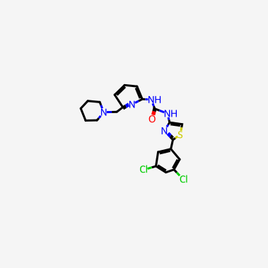 O=C(Nc1cccc(CN2CCCCC2)n1)Nc1csc(-c2cc(Cl)cc(Cl)c2)n1